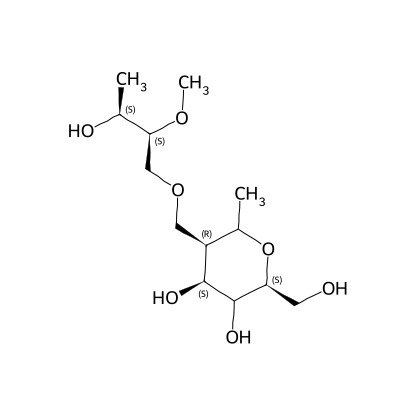 CO[C@@H](COC[C@H]1C(C)O[C@@H](CO)C(O)[C@H]1O)[C@H](C)O